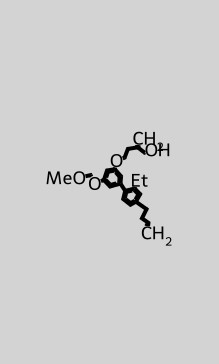 C=CCCc1ccc(-c2cc(OCCC(=C)CO)cc(OCOC)c2)c(CC)c1